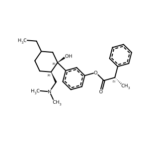 CCC1CC[C@H](CN(C)C)[C@@](O)(c2cccc(OC(=O)[C@@H](C)c3ccccc3)c2)C1